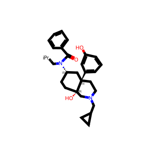 CC(C)CN(C(=O)c1ccccc1)[C@H]1CC[C@]2(O)CN(CC3CC3)CC[C@@]2(c2cccc(O)c2)C1